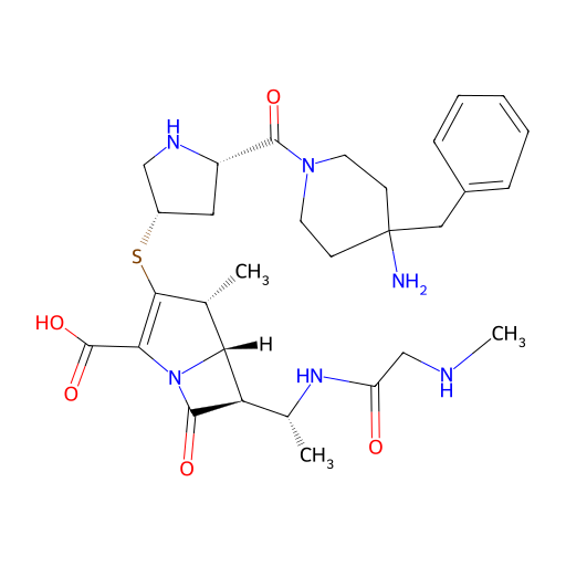 CNCC(=O)N[C@H](C)[C@H]1C(=O)N2C(C(=O)O)=C(S[C@@H]3CN[C@H](C(=O)N4CCC(N)(Cc5ccccc5)CC4)C3)[C@H](C)[C@H]12